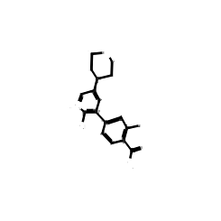 CCNC(=O)c1ccc(-c2cc(C3CCOCC3)cnc2N)cc1F